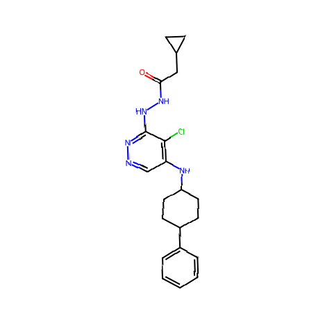 O=C(CC1CC1)NNc1nncc(NC2CCC(c3ccccc3)CC2)c1Cl